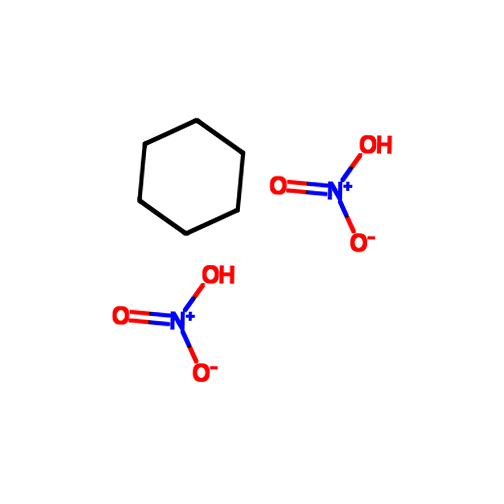 C1CCCCC1.O=[N+]([O-])O.O=[N+]([O-])O